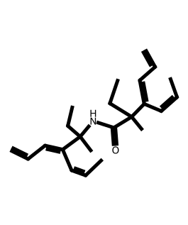 C=C/C=C(\C=C/C)C(C)(CC)NC(=O)C(C)(CC)C(/C=C\C)=C/C=C